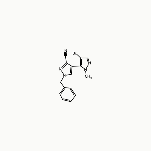 Cn1ncc(Br)c1-c1cn(Cc2ccccc2)nc1C#N